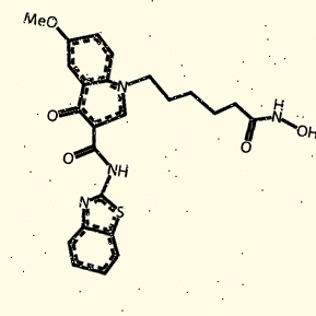 COc1ccc2c(c1)c(=O)c(C(=O)Nc1nc3ccccc3s1)cn2CCCCCC(=O)NO